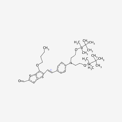 CCCCOc1c(/C=C/c2ccc(N(CCO[Si](C)(C)C(C)(C)C)CCO[Si](C)(C)C(C)(C)C)cc2)sc2cc(C=O)sc12